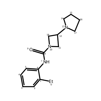 CCc1ccccc1NC(=O)N1CC(N2CCCC2)C1